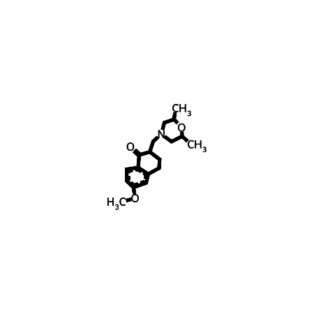 COc1ccc2c(c1)CCC(CN1CC(C)OC(C)C1)C2=O